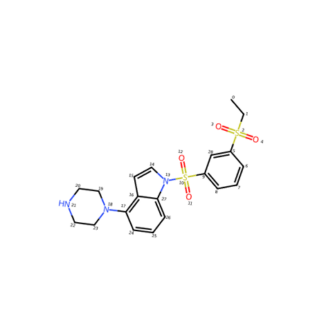 CCS(=O)(=O)c1cccc(S(=O)(=O)n2ccc3c(N4CCNCC4)cccc32)c1